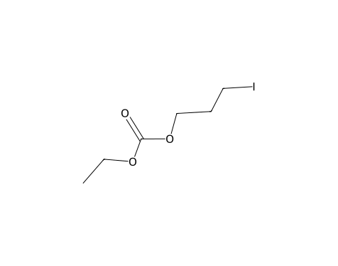 CCOC(=O)OCCCI